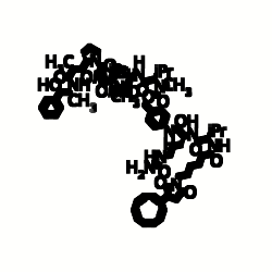 CC[C@H](C)[C@@H]([C@@H](CC(=O)N1CCC[C@H]1[C@H](OC)[C@@H](C)C(=O)N[C@@H](C)[C@H](O)c1ccccc1)OC)N(C)C(=O)[C@@H](NC(=O)[C@H](C(C)C)N(C)C(=O)OCc1ccc(NC(=O)[C@H](CCCNC(N)=O)NC(=O)[C@@H](NC(=O)CCCCCN2C(=O)CC(c3ccccccccc3)C2=O)C(C)C)cc1)C(C)C